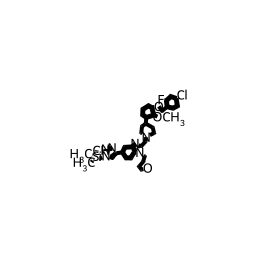 CC1(c2ccc(Cl)cc2F)Oc2cccc(C3CCN(Cc4nc5cc(-c6cn(C[Si](C)(C)C)nn6)ccc5n4CC4CCO4)CC3)c2O1